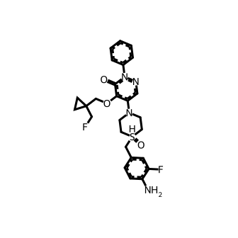 Nc1ccc(C[SH]2(=O)CCN(c3cnn(-c4ccccc4)c(=O)c3OCC3(CF)CC3)CC2)cc1F